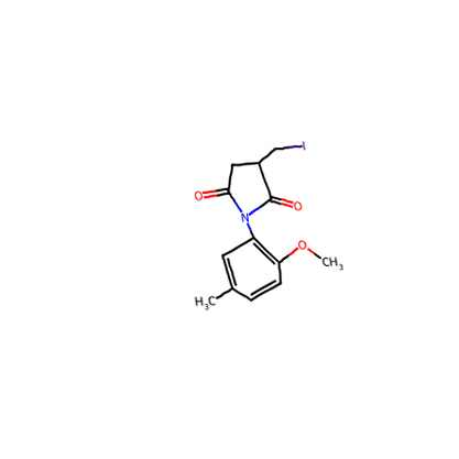 COc1ccc(C)cc1N1C(=O)CC(CI)C1=O